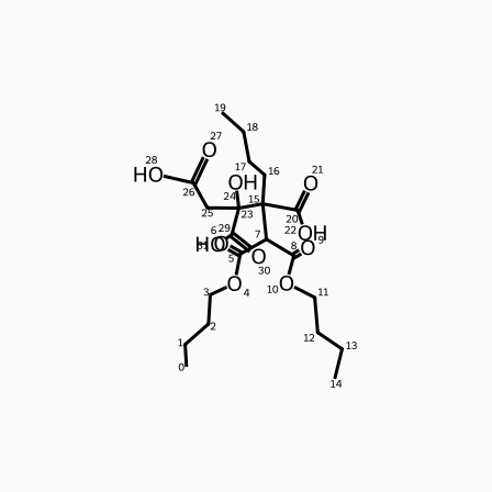 CCCCOC(=O)C(C(=O)OCCCC)C(CCCC)(C(=O)O)C(O)(CC(=O)O)C(=O)O